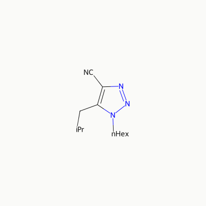 CCCCCCn1nnc(C#N)c1CC(C)C